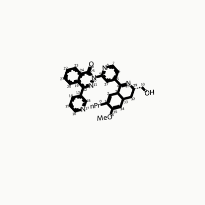 CCCC1=CC2C(c3ccnc(-n4nc(-c5cccnc5)c5ccccc5c4=O)c3)=N[C@H](CO)CC2C=C1OC